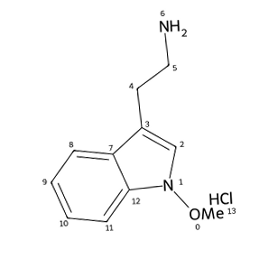 COn1cc(CCN)c2ccccc21.Cl